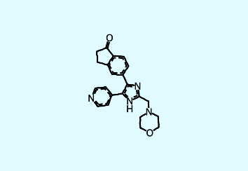 O=C1CCc2cc(-c3nc(CN4CCOCC4)[nH]c3-c3ccncc3)ccc21